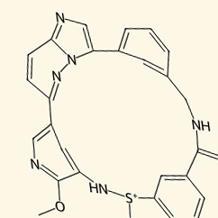 COc1ncc2cc1N[S+]([O-])c1cccc(c1)C(=O)NCc1cccc(c1)-c1cnc3ccc-2nn13